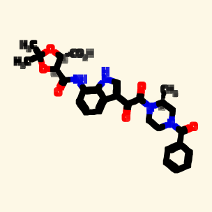 C[C@@H]1CN(C(=O)c2ccccc2)CCN1C(=O)C(=O)c1c[nH]c2c(NC(=O)[C@H]3OC(C)(C)O[C@@H]3C(=O)O)cccc12